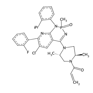 C=CC(=O)N1C[C@H](C)N(C2=NP(C)(=O)N(c3ccccc3C(C)C)c3nc(-c4ccccc4F)c(Cl)cc32)C[C@H]1C